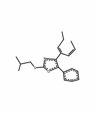 C/C=C\C(=C/CC)c1nc(SCC(C)C)oc1-c1ccccc1